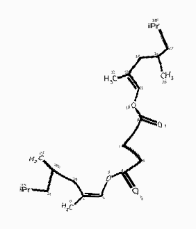 CC(=COC(=O)CCC(=O)OC=C(C)CC(C)CC(C)C)CC(C)CC(C)C